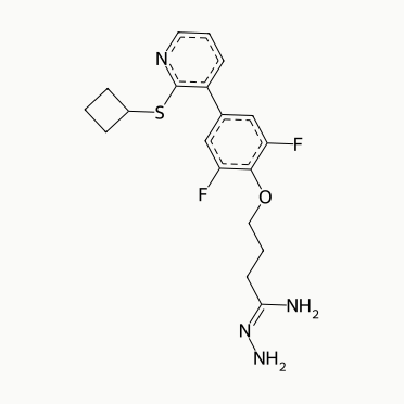 N/N=C(\N)CCCOc1c(F)cc(-c2cccnc2SC2CCC2)cc1F